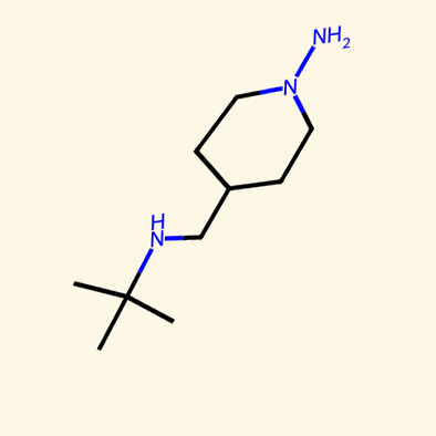 CC(C)(C)NCC1CCN(N)CC1